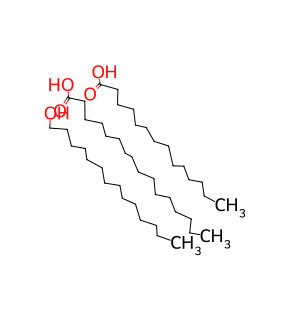 CCCCCCCCCCCCCC(=O)O.CCCCCCCCCCCCCCCC(=O)O.CCCCCCCCCCCCCCO